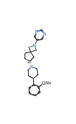 COc1ccccc1C1CCN([C@@H]2CCC3(C2)CN(c2cncnc2)C3)CC1